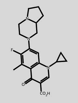 Cc1c(F)c(N2CCN3CCCC3C2)cc2c1c(=O)c(C(=O)O)cn2C1CC1